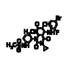 Cc1c(Nc2ccc(Br)cc2F)c2c(=O)n(C3CC3)c(=O)n(-c3cccc(NS(C)(=O)=O)c3)c2n(C)c1=O